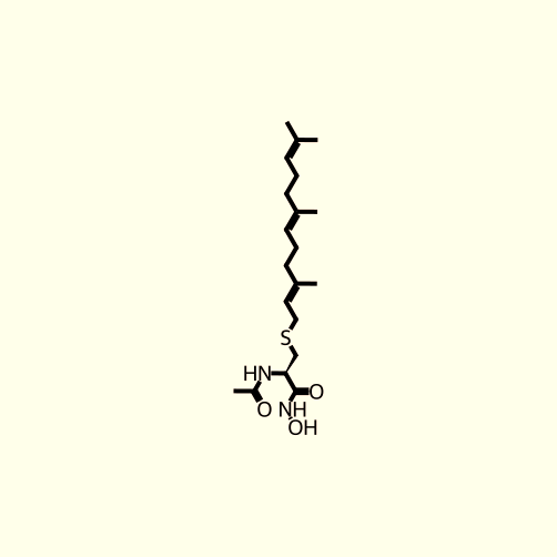 CC(=O)N[C@@H](CSC/C=C(\C)CC/C=C(\C)CCC=C(C)C)C(=O)NO